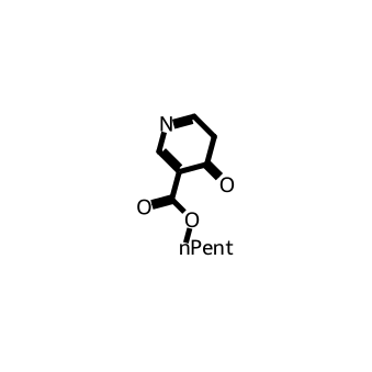 CCCCCOC(=O)C1=CN=CCC1=O